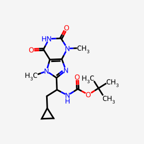 Cn1c(C(CC2CC2)NC(=O)OC(C)(C)C)nc2c1c(=O)[nH]c(=O)n2C